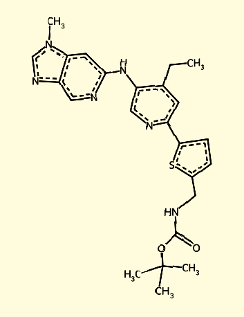 CCc1cc(-c2ccc(CNC(=O)OC(C)(C)C)s2)ncc1Nc1cc2c(cn1)ncn2C